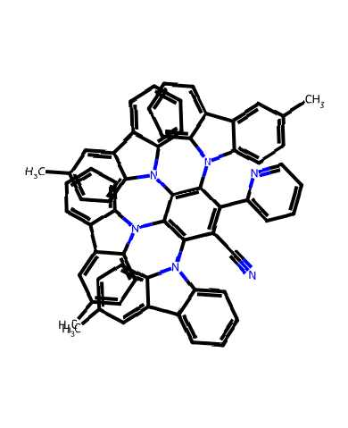 Cc1ccc2c(c1)c1ccccc1n2-c1c(C#N)c(-c2ccccn2)c(-n2c3ccccc3c3cc(C)ccc32)c(-n2c3ccccc3c3cc(C)ccc32)c1-n1c2ccccc2c2cc(C)ccc21